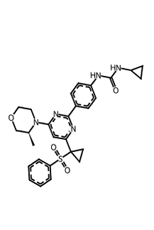 C[C@H]1COCCN1c1cc(C2(S(=O)(=O)c3ccccc3)CC2)nc(-c2ccc(NC(=O)NC3CC3)cc2)n1